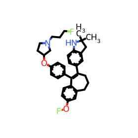 CC1(C)Cc2cc(C3=C(c4ccc(OC5CCN(CCCF)C5)cc4)c4ccc(OF)cc4CCC3)ccc2N1